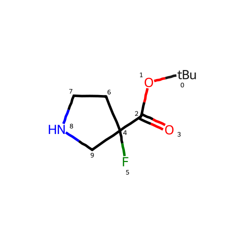 CC(C)(C)OC(=O)C1(F)CCNC1